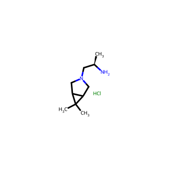 C[C@@H](N)CN1CC2C(C1)C2(C)C.Cl